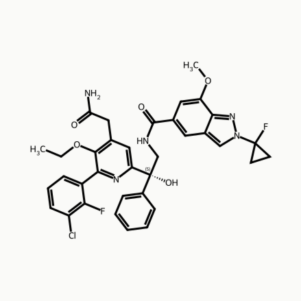 CCOc1c(CC(N)=O)cc([C@@](O)(CNC(=O)c2cc(OC)c3nn(C4(F)CC4)cc3c2)c2ccccc2)nc1-c1cccc(Cl)c1F